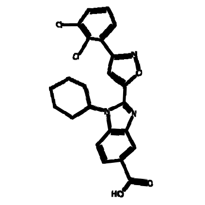 O=C(O)c1ccc2c(c1)nc(-c1cc(-c3cccc(Cl)c3Cl)no1)n2C1CCCCC1